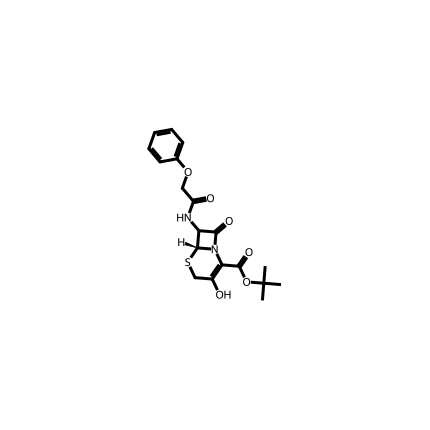 CC(C)(C)OC(=O)C1=C(O)CS[C@@H]2C(NC(=O)COc3ccccc3)C(=O)N12